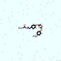 COC(=O)NCCc1ccc(Oc2cnc(Oc3ccc(OC(C)C)cc3)s2)cc1